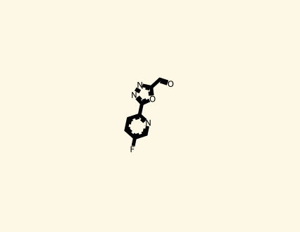 O=Cc1nnc(-c2ccc(F)cn2)o1